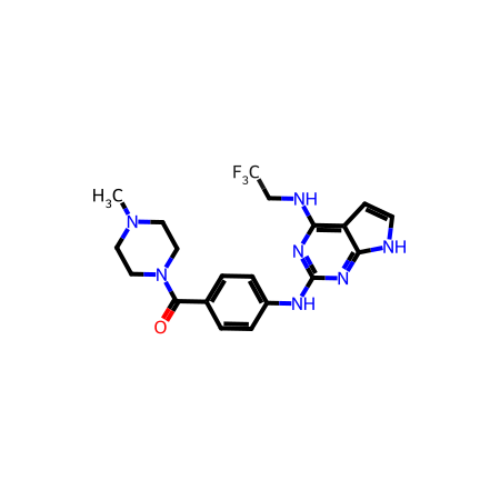 CN1CCN(C(=O)c2ccc(Nc3nc(NCC(F)(F)F)c4cc[nH]c4n3)cc2)CC1